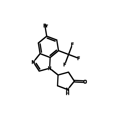 O=C1CC(n2cnc3cc(Br)cc(C(F)(F)F)c32)CN1